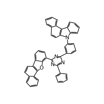 c1ccc(-c2nc(-c3cccc(-n4c5ccccc5c5c6ccccc6ccc54)c3)nc(-c3cccc4c3oc3c5ccccc5ccc43)n2)cc1